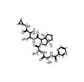 CCCC(NC(=O)C1[C@H]2CCC[C@H]2CN1C(=O)[C@@H](NC(=O)[C@H](NC(=O)c1cnccn1)C(C)C)C(C)C)C(O)C(=O)NC1CC1